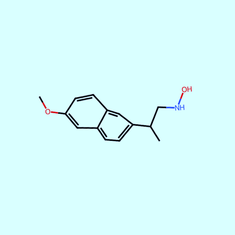 COc1ccc2cc(C(C)CNO)ccc2c1